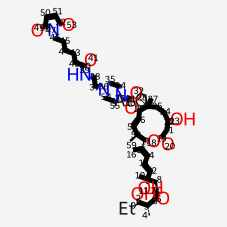 CC[C@H](O)[C@@H](C)[C@H]1O[C@@H]1CC(C)(O)/C=C/C=C(\C)[C@H]1OC(=O)C[C@H](O)CC[C@@](C)(OC(C)=O)[C@@H](OC(=O)N2CCN(CCNC(=O)CCCCCN3C(=O)C=CC3=O)CC2)/C=C/[C@@H]1C